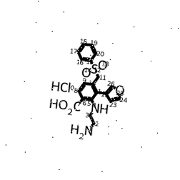 Cl.NCCNc1c(C(=O)O)ccc(CS(=O)(=O)c2ccccc2)c1-c1ccoc1